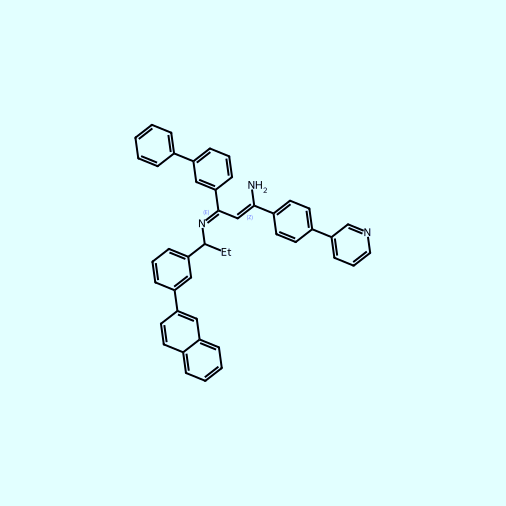 CCC(/N=C(\C=C(/N)c1ccc(-c2cccnc2)cc1)c1cccc(-c2ccccc2)c1)c1cccc(-c2ccc3ccccc3c2)c1